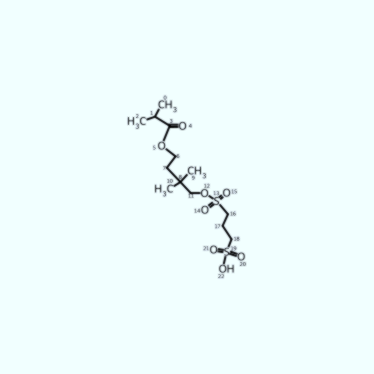 CC(C)C(=O)OCCC(C)(C)COS(=O)(=O)CCCS(=O)(=O)O